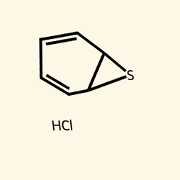 C1=CC2SC2C=C1.Cl